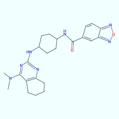 CN(C)c1nc(NC2CCC(NC(=O)c3ccc4nonc4c3)CC2)nc2c1CCCC2